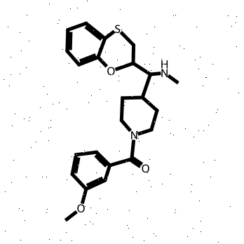 CNC(C1CCN(C(=O)c2cccc(OC)c2)CC1)C1CSc2ccccc2O1